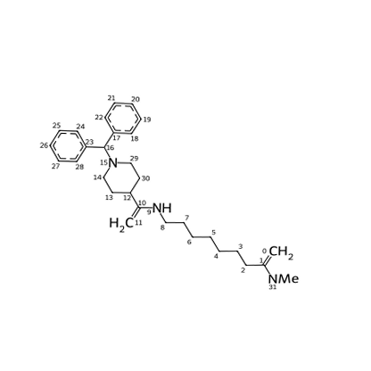 C=C(CCCCCCCNC(=C)C1CCN(C(c2ccccc2)c2ccccc2)CC1)NC